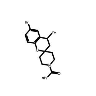 CCCC(=O)N1CCC2(CC1)CC(C(C)C)c1cc(Br)ccc1O2